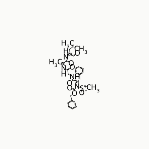 CC[S+]([O-])N(C(=O)OCc1ccccc1)[C@@H](Cc1ccccc1)C(=O)NCC(=O)N[C@@H](C)C(=O)N[C@H](C=O)CC(C)C